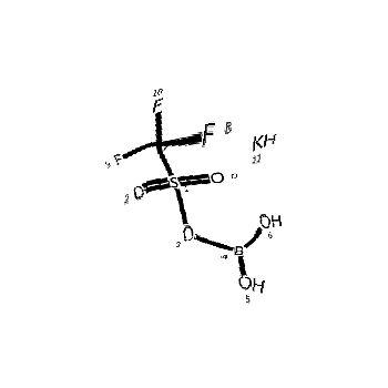 O=S(=O)(OB(O)O)C(F)(F)F.[KH]